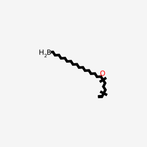 BCCCCCCCCCCCCCCCCC(=O)C(C)(C)CCCC(C)(C)C=C